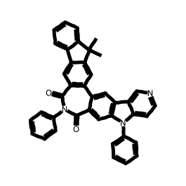 CC1(C)c2ccccc2-c2cc3c(=O)n(-c4ccccc4)c(=O)c4cc5c(cc4c3cc21)c1cnccc1n5-c1ccccc1